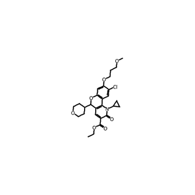 CCOC(=O)c1cc2c(n(C3CC3)c1=O)-c1cc(Cl)c(OCCCOC)cc1OC2C1CCOCC1